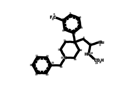 CC(C)(C)C(CC1(c2cccc(C(F)(F)F)c2)CCN(Cc2ccccc2)CC1)NC(=O)O